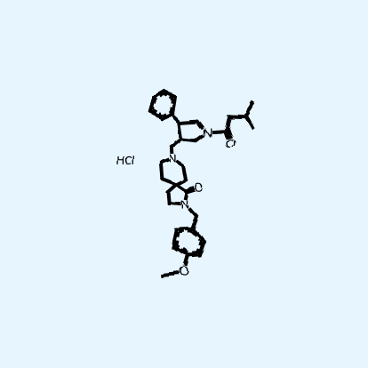 COc1ccc(CN2CCC3(CCN(CC4CN(C(=O)CC(C)C)CC4c4ccccc4)CC3)C2=O)cc1.Cl